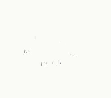 CC(C)(C)C(N)C(=O)c1ccc(C#N)c(F)c1.Cl